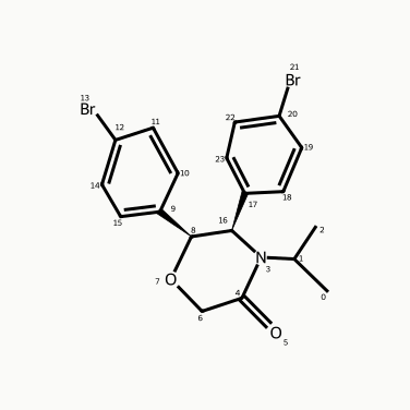 CC(C)N1C(=O)CO[C@@H](c2ccc(Br)cc2)[C@H]1c1ccc(Br)cc1